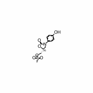 CS(=O)(=O)OC[C@H]1CN(c2ccc(O)cc2)C(=O)O1